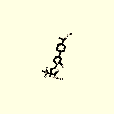 CO/N=C(\C)c1ccc(-c2ccn(CCC(C)(C(=O)NO)S(C)(=O)=O)c(=O)c2)cc1